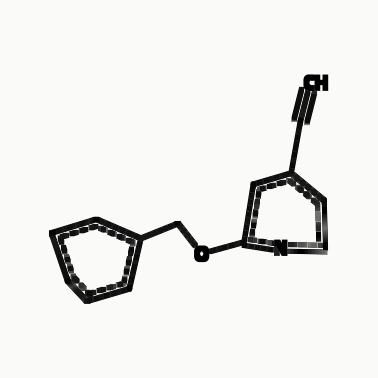 C#Cc1ccnc(OCc2ccccc2)c1